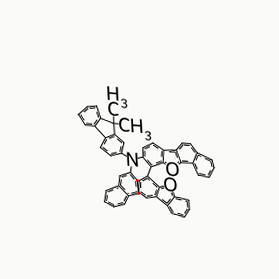 CC1(C)c2ccccc2-c2ccc(N(c3ccc4ccccc4c3)c3ccc4c(oc5c6ccccc6ccc45)c3-c3cccc4c3oc3ccccc34)cc21